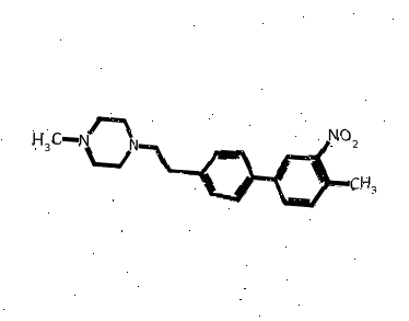 Cc1ccc(-c2ccc(CCN3CCN(C)CC3)cc2)cc1[N+](=O)[O-]